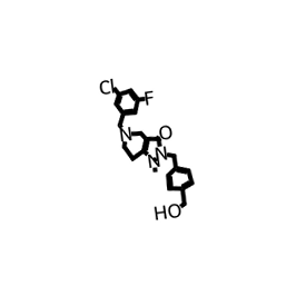 Cn1c2c(c(=O)n1Cc1ccc(CO)cc1)CN(Cc1cc(F)cc(Cl)c1)CC2